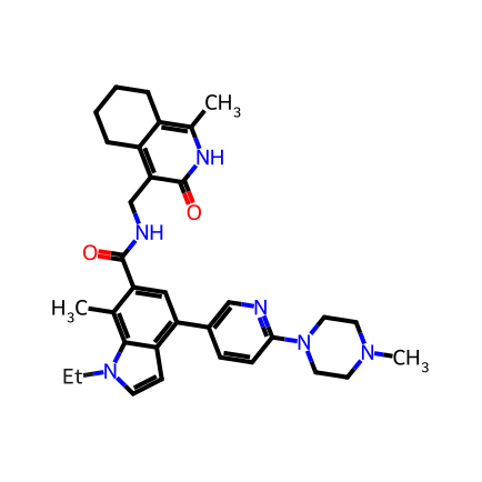 CCn1ccc2c(-c3ccc(N4CCN(C)CC4)nc3)cc(C(=O)NCc3c4c(c(C)[nH]c3=O)CCCC4)c(C)c21